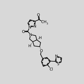 CC(=O)c1ccn(C(=O)N2C[C@H]3C[C@H](OCc4ccc(Cl)c(-c5nccs5)c4)C[C@H]3C2)n1